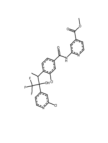 COC(=O)c1ccnc(NC(=O)c2ccc(C(C)C(O)(c3ccnc(Cl)c3)C(F)(F)F)c(Cl)c2)c1